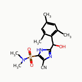 Cc1cc(C)c(C(O)c2nc(C#N)c(S(=O)(=O)N(C)C)[nH]2)c(C)c1